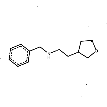 c1ccc(CNCCC2CCOC2)cc1